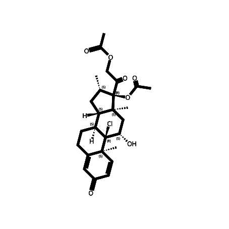 CC(=O)OCC(=O)[C@@]1(OC(C)=O)[C@@H](C)C[C@H]2[C@@H]3CCC4=CC(=O)C=C[C@]4(C)[C@@]3(Cl)[C@@H](O)C[C@@]21C